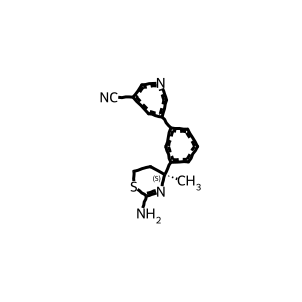 C[C@@]1(c2cccc(-c3cncc(C#N)c3)c2)CCSC(N)=N1